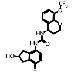 O=C(Nc1ccc(F)c2c1C[C@H](O)C2)N[C@@H]1CCOc2c(OC(F)(F)F)cccc21